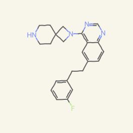 Fc1cccc(CCc2ccc3ncnc(N4CC5(CCNCC5)C4)c3c2)c1